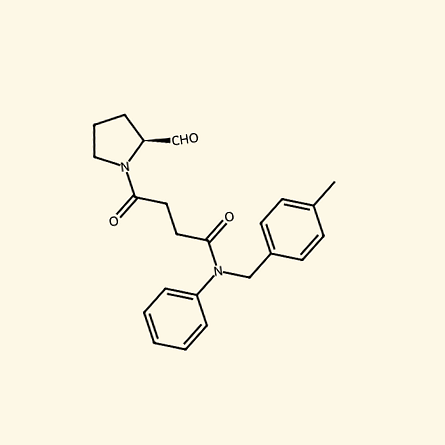 Cc1ccc(CN(C(=O)CCC(=O)N2CCC[C@H]2C=O)c2ccccc2)cc1